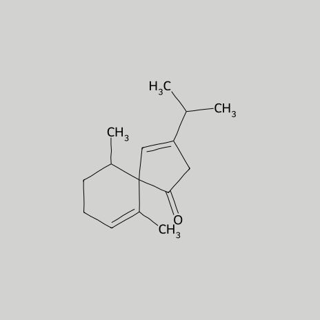 CC1=CCCC(C)C12C=C(C(C)C)CC2=O